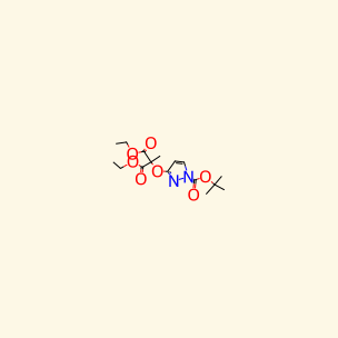 CCOC(=O)C(C)(Oc1ccn(C(=O)OC(C)(C)C)n1)C(=O)OCC